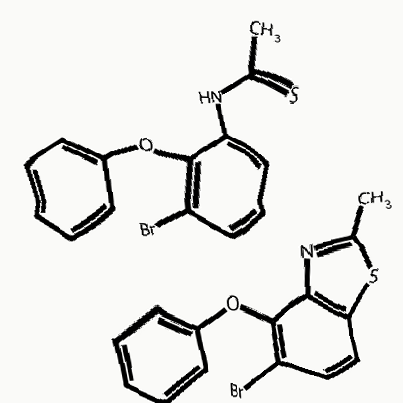 CC(=S)Nc1cccc(Br)c1Oc1ccccc1.Cc1nc2c(Oc3ccccc3)c(Br)ccc2s1